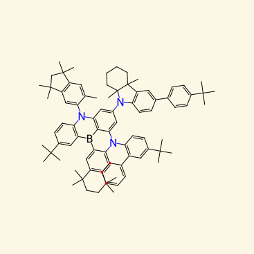 Cc1cc2c(cc1N1c3ccc(C(C)(C)C)cc3B3c4cc5c(cc4N(c4ccc(C(C)(C)C)cc4-c4ccccc4)c4cc(N6c7ccc(-c8ccc(C(C)(C)C)cc8)cc7C7(C)CCCCC67C)cc1c43)C(C)(C)CCC5(C)C)C(C)(C)CC2(C)C